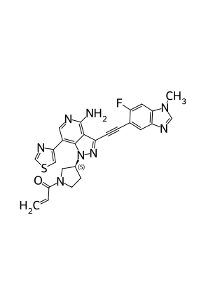 C=CC(=O)N1CC[C@H](n2nc(C#Cc3cc4ncn(C)c4cc3F)c3c(N)ncc(-c4cscn4)c32)C1